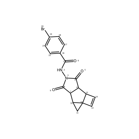 O=C(NN1C(=O)C2C(C1=O)C1CC13C=CC23)c1ccc(Br)cc1